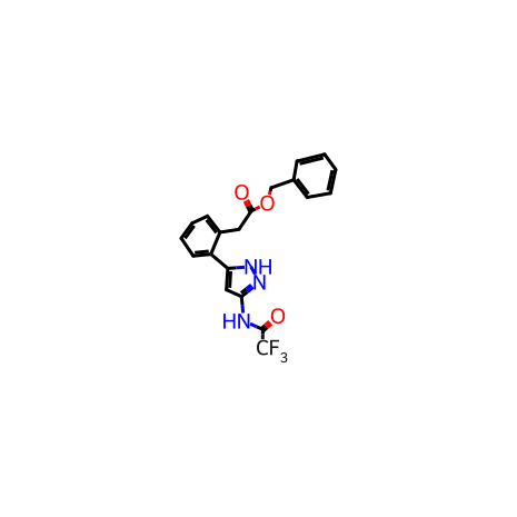 O=C(Cc1ccccc1-c1cc(NC(=O)C(F)(F)F)n[nH]1)OCc1ccccc1